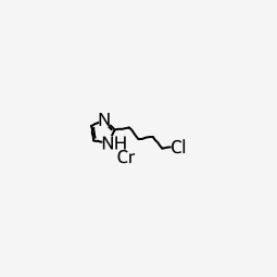 ClCCCCc1ncc[nH]1.[Cr]